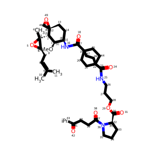 CO[C@H]1[C@H](C2(C)O[C@@H]2CC=C(C)C)[C@]2(CC[C@H]1NC(=O)C13CCC(C(=O)NCCCOC(=O)[C@H]4CCCN4C(=O)CCC(=O)C(C)C)(CC1)CC3)CO2